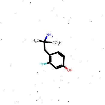 CC(N)(Cc1ccc(O)cc1[18F])C(=O)O